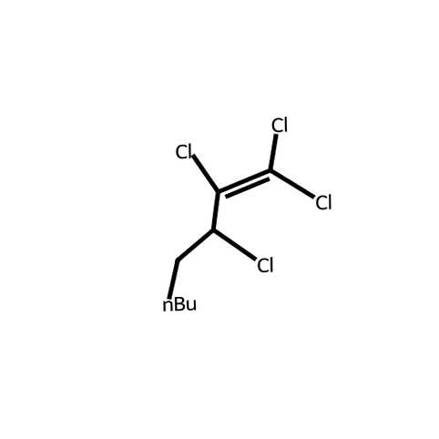 CCCCCC(Cl)C(Cl)=C(Cl)Cl